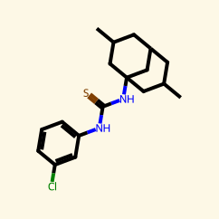 CC1CC2CC(C)CC(NC(=S)Nc3cccc(Cl)c3)(C1)C2